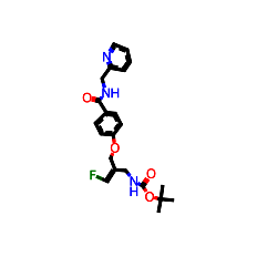 CC(C)(C)OC(=O)NC/C(=C/F)COc1ccc(C(=O)NCc2ccccn2)cc1